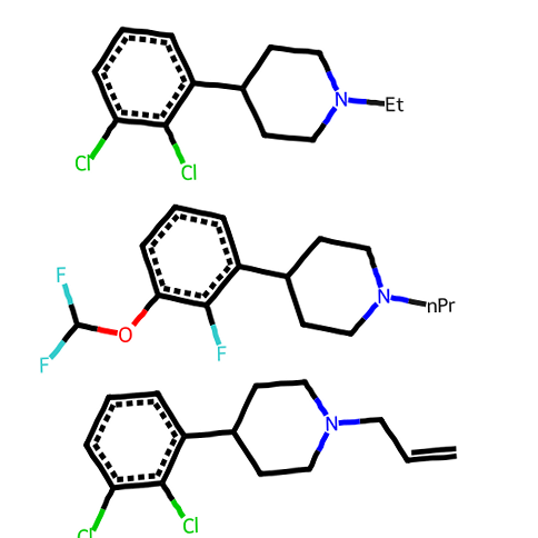 C=CCN1CCC(c2cccc(Cl)c2Cl)CC1.CCCN1CCC(c2cccc(OC(F)F)c2F)CC1.CCN1CCC(c2cccc(Cl)c2Cl)CC1